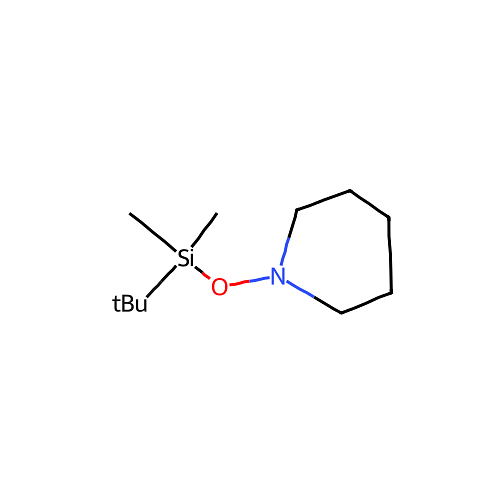 CC(C)(C)[Si](C)(C)ON1CCCCC1